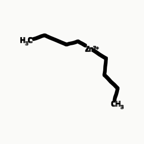 CCC[CH2][Zn+2][CH2]CCC